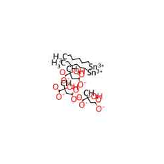 CC(O)(CC(=O)[O-])C(=O)[O-].CC(O)(CC(=O)[O-])C(=O)[O-].CC(O)(CC(=O)[O-])C(=O)[O-].CCCCC[CH2][Sn+3].CCCCC[CH2][Sn+3]